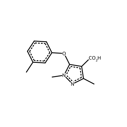 Cc1cccc(Oc2c(C(=O)O)c(C)nn2C)c1